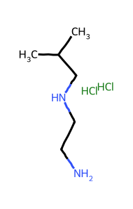 CC(C)CNCCN.Cl.Cl